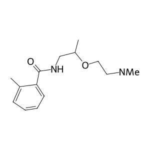 CNCCOC(C)CNC(=O)c1ccccc1C